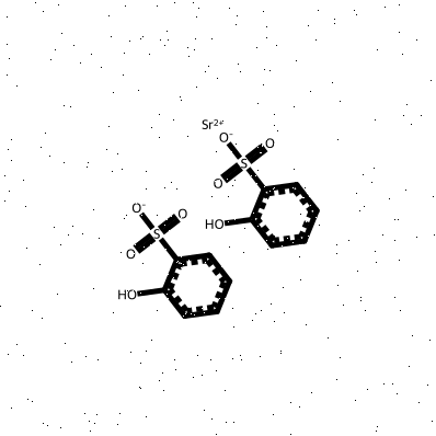 O=S(=O)([O-])c1ccccc1O.O=S(=O)([O-])c1ccccc1O.[Sr+2]